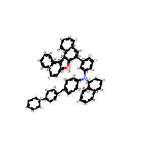 c1ccc(-c2ccc(-c3ccc(N(c4cccc(-c5cc6ccccc6c6c5oc5ccc7ccccc7c56)c4)c4cccc5ccccc45)cc3)cc2)cc1